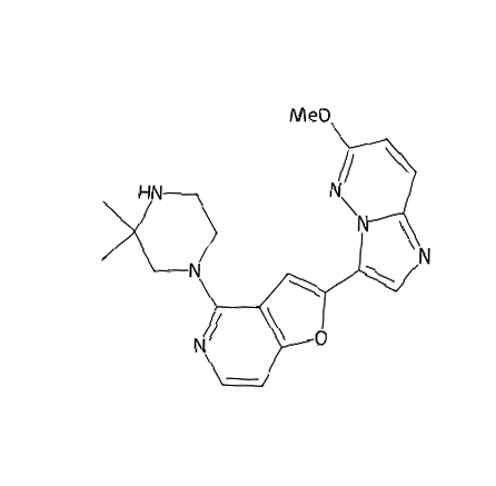 COc1ccc2ncc(-c3cc4c(N5CCNC(C)(C)C5)nccc4o3)n2n1